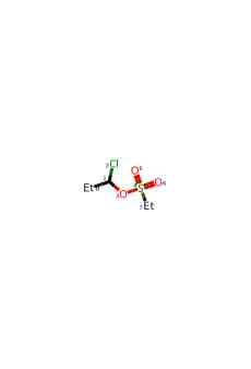 CCC(Cl)OS(=O)(=O)CC